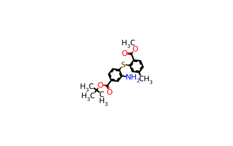 COC(=O)c1ccc(C)cc1Sc1ccc(C(=O)OC(C)(C)C)cc1N